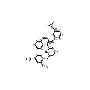 Cc1ccc(C[C@@H]2CON=C(c3c(Oc4cccc(C5CC5)c4)nnc4ccccc34)N2)c(C)c1